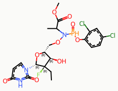 CC[C@@]1(F)[C@H](O)[C@@H](CON(C(C)C(=O)OC)[PH](=O)Oc2ccc(Cl)cc2Cl)O[C@H]1n1ccc(=O)[nH]c1=O